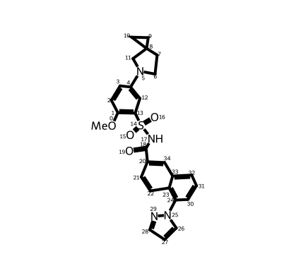 COc1ccc(N2CCC3(CC3)C2)cc1S(=O)(=O)NC(=O)c1ccc2c(-n3cccn3)cccc2c1